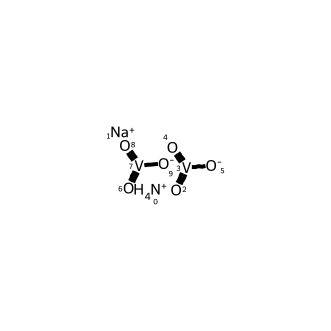 [NH4+].[Na+].[O]=[V](=[O])[O-].[O]=[V](=[O])[O-]